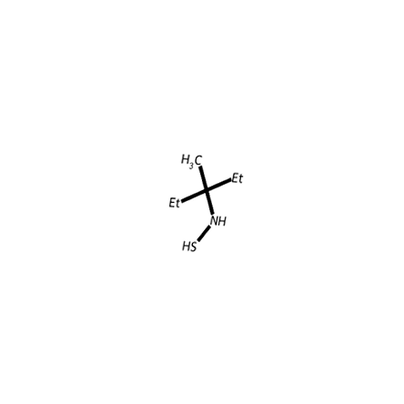 CCC(C)(CC)NS